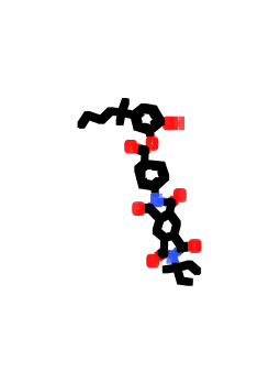 CCCCC(C)(C)c1ccc(O)c(OC(=O)c2ccc(N3C(=O)C4CC5C(=O)N(C(C)(CC)CC)C(=O)C5CC4C3=O)cc2)c1